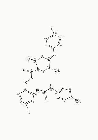 C[C@@H]1CN(C(=O)COc2ccc(Cl)cc2NC(=O)Nc2ccc([N+](=O)[O-])cc2)[C@@H](C)CN1Cc1ccc(F)cc1